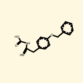 N=C(Cc1ccc(OCc2ccccc2)cc1)NC(=O)O